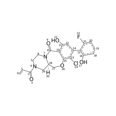 C=CC(=O)N1CCN2C(=O)c3c(O)cc(-c4c(O)cccc4F)c(Cl)c3OC[C@H]2C1